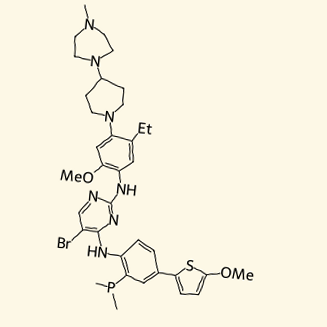 CCc1cc(Nc2ncc(Br)c(Nc3ccc(-c4ccc(OC)s4)cc3P(C)C)n2)c(OC)cc1N1CCC(N2CCN(C)CC2)CC1